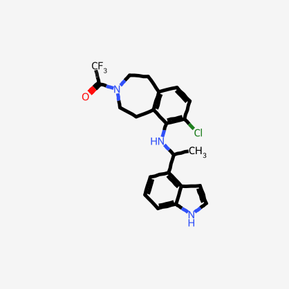 CC(Nc1c(Cl)ccc2c1CCN(C(=O)C(F)(F)F)CC2)c1cccc2[nH]ccc12